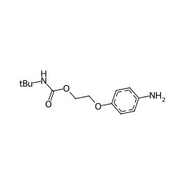 CC(C)(C)NC(=O)OCCOc1ccc(N)cc1